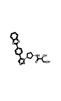 O=C(N[C@H]1CC[C@@H](n2nncc2-c2ccc(-c3nc4ccccc4o3)cc2)C1)C(O)CO